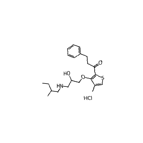 CCC(C)CNCC(O)COc1c(C)csc1C(=O)CCc1ccccc1.Cl